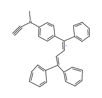 C#CN(C)c1ccc(/C(=C\C=C(c2ccccc2)c2ccccc2)c2ccccc2)cc1